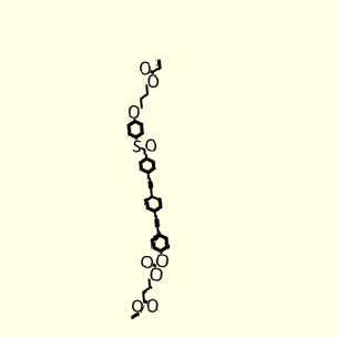 C=COC(=O)CCCOC(=O)Oc1ccc(C#Cc2ccc(C#Cc3ccc(C(=O)Sc4ccc(OCCCCOC(=O)C=C)cc4)cc3)cc2)cc1